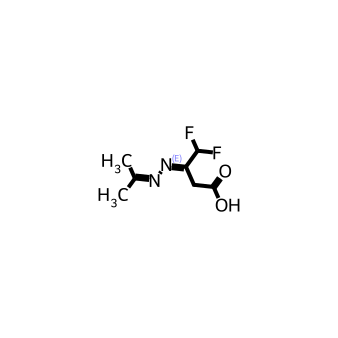 CC(C)=N/N=C(\CC(=O)O)C(F)F